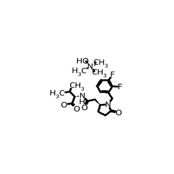 CC(C)[C@H](NC(=O)C[C@@H]1CCC(=O)N1Cc1cccc(F)c1F)C(=O)[O-].C[N+](C)(C)O